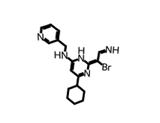 N=C/C(Br)=C1/N=C(C2CCCCC2)C=C(NCc2cccnc2)N1